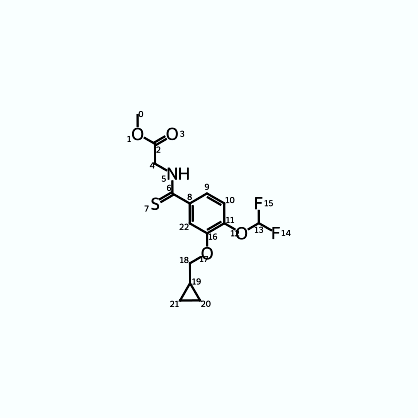 COC(=O)CNC(=S)c1ccc(OC(F)F)c(OCC2CC2)c1